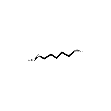 CCCCCCCCCCC[CH]OCCCCCC